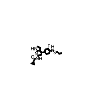 C=CCSNc1ccc(-c2cc(NC(=O)C3CC3)nc3[nH]ccc23)cc1F